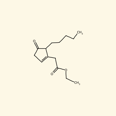 CCCCCC1C(=O)CC=C1CC(=O)OCC